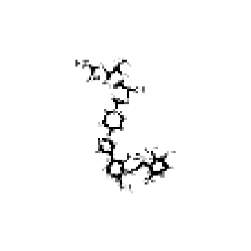 CC(O)OC(=O)C(C)OC(=O)C(C)OC(=O)N1CCC(n2cc(-c3cnc(N)c(O[C@H](C)c4c(Cl)ccc(F)c4Cl)c3)cn2)CC1